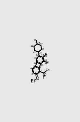 CCOc1ccc2c(c1C(F)F)-c1c-2cc(C2CCC(C)CC2)c(F)c1F